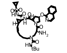 CC(C)(C)NC(=O)N1CCC/C=C\[C@@H]2C[C@@]2(C(=O)NS(=O)(=O)C2CC2)NC(=O)[C@@H]2C[C@@H](Oc3nccc4ccccc34)CN2C(=O)[C@@H](N)C1